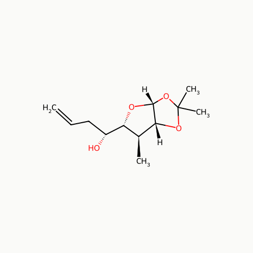 C=CC[C@@H](O)[C@@H]1O[C@@H]2OC(C)(C)O[C@@H]2[C@H]1C